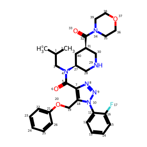 CC(C)CN(C(=O)c1nnn(-c2ccccc2F)c1COc1ccccc1)[C@@H]1CNC[C@H](C(=O)N2CCOCC2)C1